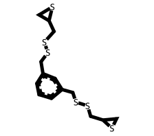 c1cc(CSSCC2CS2)cc(CSSCC2CS2)c1